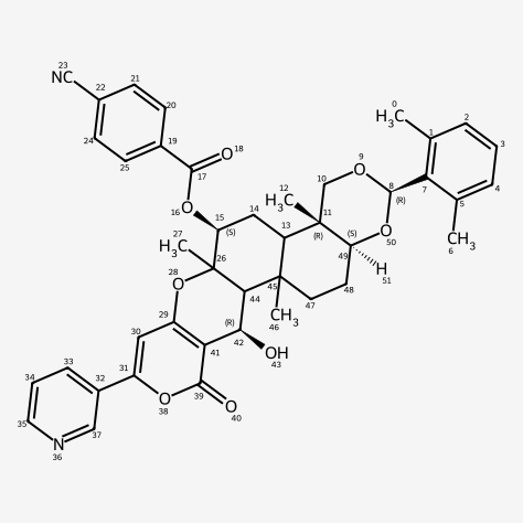 Cc1cccc(C)c1[C@@H]1OC[C@@]2(C)C3C[C@H](OC(=O)c4ccc(C#N)cc4)C4(C)Oc5cc(-c6cccnc6)oc(=O)c5[C@H](O)C4C3(C)CC[C@@H]2O1